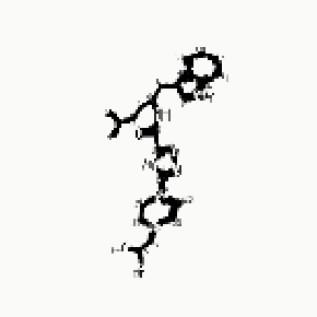 CC(C)CCC(Cc1c[nH]c2ccccc12)NC(=O)c1nnc(N2CCN(CC(F)F)CC2)[nH]1